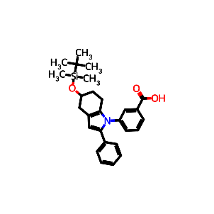 CC(C)(C)[Si](C)(C)OC1CCc2c(cc(-c3ccccc3)n2-c2cccc(C(=O)O)c2)C1